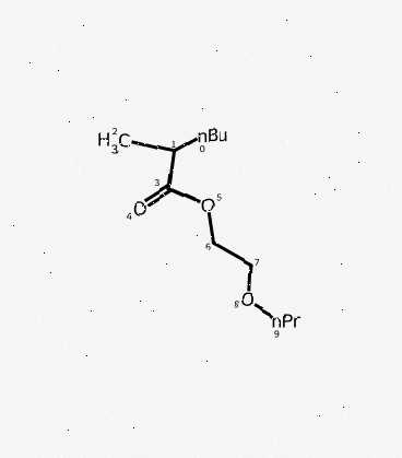 CCCCC(C)C(=O)OCCOCCC